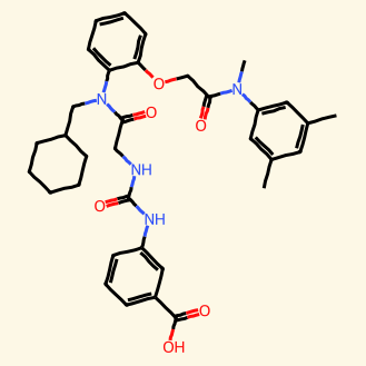 Cc1cc(C)cc(N(C)C(=O)COc2ccccc2N(CC2CCCCC2)C(=O)CNC(=O)Nc2cccc(C(=O)O)c2)c1